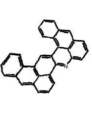 c1ccc2c(c1)cc1cccc3c4nc5cccc6cc7ccccc7c(c4cc2c13)c65